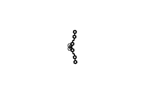 C(=C\c1ccc2c(c1)oc1oc3cc(/C=C/c4ccc(-c5ccccc5)cc4)ccc3c12)/c1ccc(-c2ccccc2)cc1